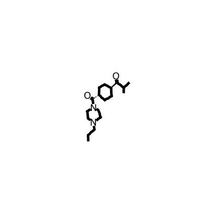 CCCN1CCN(C(=O)[C@H]2CC[C@H](C(=O)C(C)C)CC2)CC1